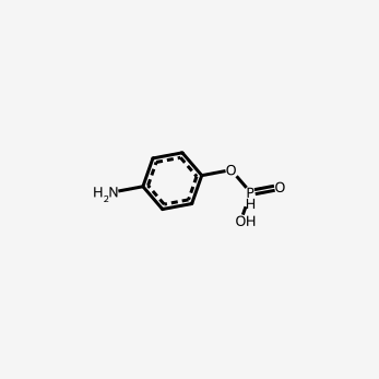 Nc1ccc(O[PH](=O)O)cc1